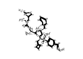 Cc1nc(CN(C)C(=O)N[C@H](C(=O)N[C@@H](Cc2ccccc2)[C@H](O)CN(CC2CCC2)S(=O)(=O)c2ccc(C=NO)cc2)C(C)C)cs1